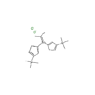 C[C](C)=[Zr+2]([C]1=CC([Si](C)(C)C)=CC1)[C]1=CC([Si](C)(C)C)=CC1.[Cl-].[Cl-]